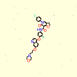 O=C(Nc1ccc(Oc2ccnc3cc(OCCCN4CCOCC4)ccc23)c(F)c1)c1c2c(cn(-c3ccc(F)cc3)c1=O)CCO2